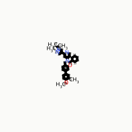 COc1ccc(C23CCC(CN(C(=O)C4CCCCC4)c4ccnc(-c5cnn(C(C)(C)C)c5)c4)(CC2)CC3)cc1C